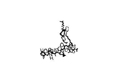 CCC(C)[C@@H](C(CC(=O)N1CC2(CC2)C[C@H]1[C@H](OC)[C@@H](C)C(=O)NC(Cc1ccccc1F)C(=O)O)OC)N(C)C(=O)[C@@H](NC(=O)[C@H](C(C)C)N(C)C(=O)CCCCCN1C(=O)CC(SCCCC(C)C)C1=O)C(C)C